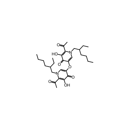 CCCCC(CC)Cn1cc(Oc2cn(CC(CC)CCCC)c(C(C)=O)c(O)c2=O)c(=O)c(O)c1C(C)=O